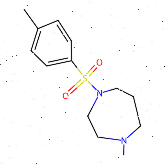 Cc1ccc(S(=O)(=O)N2CCCN(C)CC2)cc1